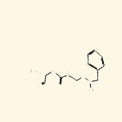 C[C@@H](C=O)OC(=O)NCON(C)Cc1ccccc1